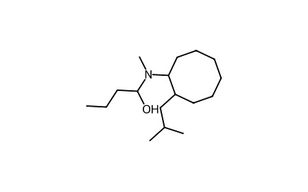 CCCC(O)N(C)C1CCCCCCC1CC(C)C